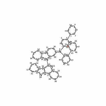 c1ccc(-c2ccc(N(c3ccc4c5ccccc5n(-c5nc6ccccc6c6nc7ccccc7n56)c4c3)c3ccccc3-c3ccccc3)cc2)cc1